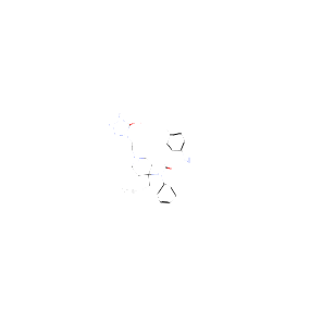 CCC(=O)N(c1ccccc1)C1(COC)CCN(CCn2nnn(CC)c2=O)CC1.Nc1ccc(C(=O)O)cc1